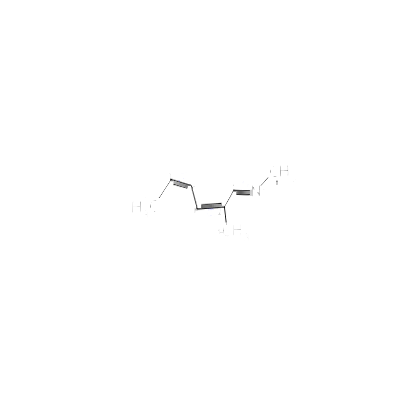 C\C=C/C=C(C)\C=N\C